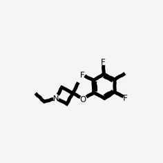 CCN1CC(C)(Oc2cc(F)c(C)c(F)c2F)C1